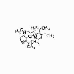 CCc1ccnc(CCCN(C)c2ccnc(C(C)C)c2C)c1C(C)C